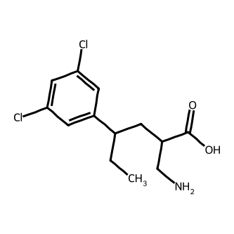 CCC(CC(CN)C(=O)O)c1cc(Cl)cc(Cl)c1